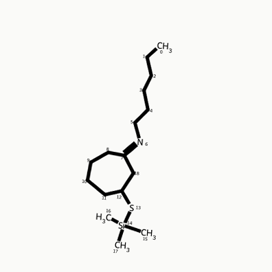 CCCCCC/N=C1\CCCCC(S[Si](C)(C)C)C1